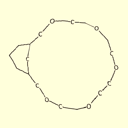 C1CC2COCCOCCOCCOCCOCC(C1)C2